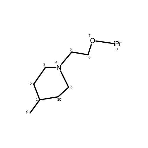 CC1CCN(CCOC(C)C)CC1